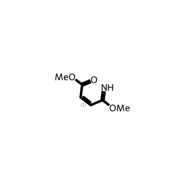 COC(=N)/C=C\C(=O)OC